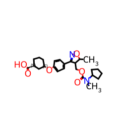 CC1ON=C(c2ccc(O[C@H]3CCC[C@H](C(=O)O)C3)cc2)C1COC(=O)N(C)C1CCCC1